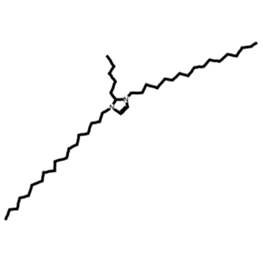 CCCCCCCCCCCCCCCCCCN1C=CN(CCCCCCCCCCCCCCCCC)C1CCCCC